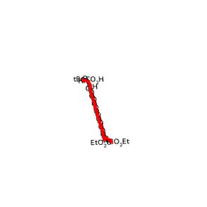 CCOC(=O)C(Cc1cn(CCOCCOCCOCCOCCOCCOCCOCCOCCOCCOCCOCCOCCC(=O)NCCCC[C@H](NC(=O)OC(C)(C)C)C(=O)O)nn1)C(=O)OCC